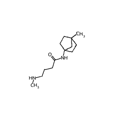 CNCCCC(=O)NC12CCC(C)(CC1)C2